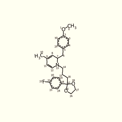 COc1ccc(CC2C=C(C)C=CN2CCCC2(c3ccc(F)cc3)OCCO2)cc1